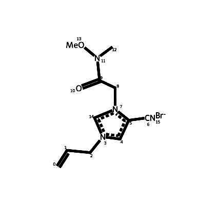 C=CC[n+]1cc(C#N)n(CC(=O)N(C)OC)c1.[Br-]